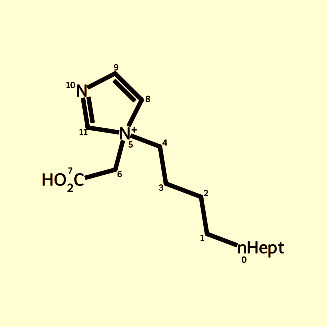 CCCCCCCCCCC[N+]1(CC(=O)O)C=CN=C1